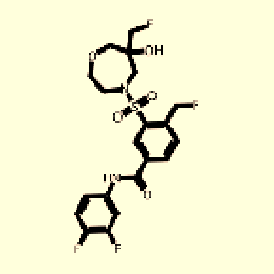 O=C(Nc1ccc(F)c(F)c1)c1ccc(CF)c(S(=O)(=O)N2CCOCC(O)(CF)C2)c1